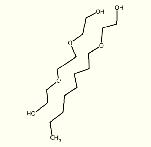 CCCCCCCCOCCO.OCCOCCOCCO